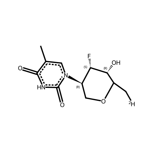 [2H]CC1OC[C@@H](n2cc(C)c(=O)[nH]c2=O)[C@H](F)[C@@H]1O